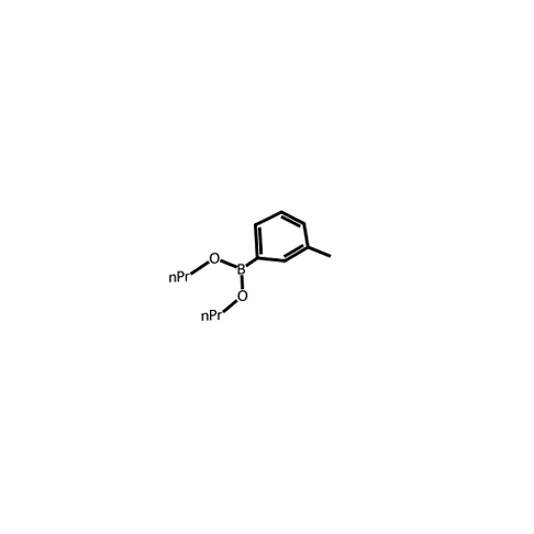 CCCOB(OCCC)c1cccc(C)c1